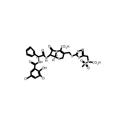 CS(=O)(=O)N(Cc1nnc(SCC2=C(C(=O)O)N3C(=O)C(NC(=O)[C@@H](NC(=O)c4cc(Cl)cc(Cl)c4O)c4ccccc4)[C@@H]3SC2)s1)C(=O)O